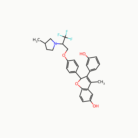 CC1=C(c2cccc(O)c2)C(c2ccc(OCC(N3CCC(C)C3)C(F)(F)F)cc2)Oc2ccc(O)cc21